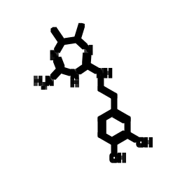 CC1N=C(N)NC(NCCc2ccc(O)c(O)c2)=NC1C